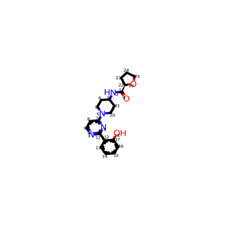 O=C(NC1CCN(c2ccnc(-c3ccccc3O)n2)CC1)[C@H]1CCCO1